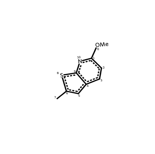 COc1ccc2cc(C)sc2n1